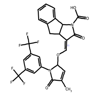 CC1=CC(O/C=C2/C(=O)N(C(=O)O)C3c4ccccc4CC23)N(c2cc(C(F)(F)F)cc(C(F)(F)F)c2)C1=O